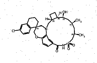 C[C@@H]1C[C@H](C)C[C@H](O)[C@@H]2CC[C@H]2CN2C[C@@]3(CCCc4cc(Cl)ccc43)COc3ccc(cc32)C(=O)NS(=O)(=O)C1